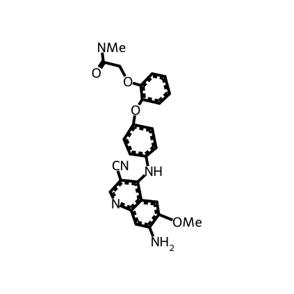 CNC(=O)COc1ccccc1Oc1ccc(Nc2c(C#N)cnc3cc(N)c(OC)cc23)cc1